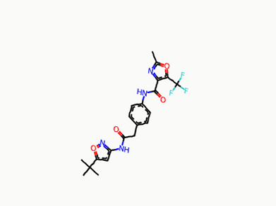 Cc1nc(C(=O)Nc2ccc(CC(=O)Nc3cc(C(C)(C)C)on3)cc2)c(C(F)(F)F)o1